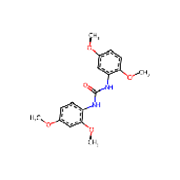 COc1ccc(OC)c(NC(=O)Nc2ccc(OC)cc2OC)c1